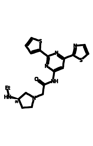 CCN[C@@H]1CCN(CC(=O)Nc2cc(-c3nccs3)nc(-c3cccs3)n2)C1